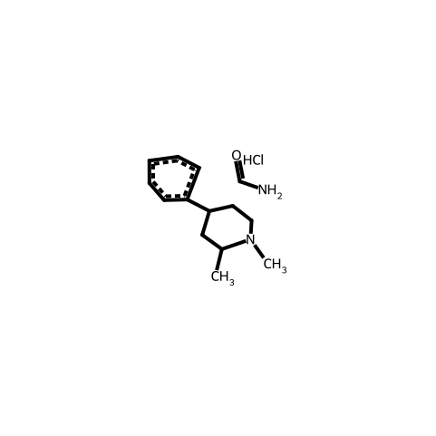 CC1CC(c2ccccc2)CCN1C.Cl.NC=O